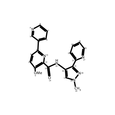 COc1ccc(-c2cccnc2)nc1C(=O)Nc1cn(C)nc1-c1ccccn1